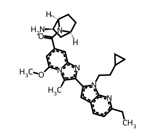 CCc1ccc2cc(-c3nc4cc(C(=O)N5[C@H]6CC[C@@H]5[C@H](N)C6)cc(OC)n4c3C)n(CCC3CC3)c2n1